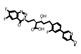 COc1ccc(-c2ccc(CC[C@@H](O)[C@H](CCn3nnc4cc(F)c(F)cc4c3=O)C(=O)O)c(F)c2)cn1